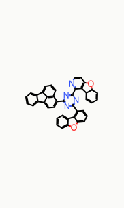 C1=CC2Oc3ccnc(-c4nc(-c5ccc6c7c(cccc57)-c5ccccc5-6)nc(-c5cccc6oc7ccccc7c56)n4)c3C2C=C1